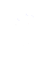 Cc1nnc(N(C)C(=O)c2ccc(C(F)(F)F)c(S(C)(=O)=O)c2C)o1